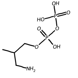 CC(CN)COP(=O)(O)OP(=O)(O)O